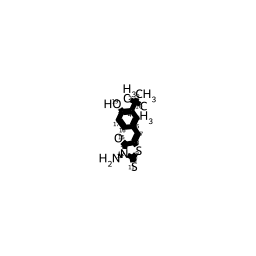 CC(C)(C)c1cc(C=C2SC(=S)N(N)C2=O)ccc1O